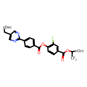 CCCCCCCCCCCc1cnc(-c2ccc(C(=O)Oc3ccc(C(=O)OC(CCCCCCCC)C(F)(F)F)cc3F)cc2)nc1